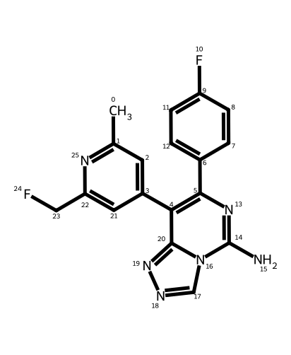 Cc1cc(-c2c(-c3ccc(F)cc3)nc(N)n3cnnc23)cc(CF)n1